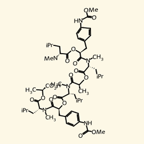 CN[C@H](CC(C)C)C(=O)O[C@@H](Cc1ccc(NC(=O)OC)cc1)C(=O)N(C)[C@H](CC(C)C)C(=O)O[C@@H](C)C(=O)N(C)[C@H](CC(C)C)C(=O)O[C@@H](Cc1ccc(NC(=O)OC)cc1)C(=O)N(C)[C@H](CC(C)C)C(=O)O[C@@H](C)C(=O)O